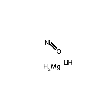 [LiH].[MgH2].[O]=[Ni]